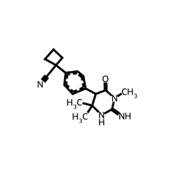 CN1C(=N)NC(C)(C)C(c2ccc(C3(C#N)CCC3)cc2)C1=O